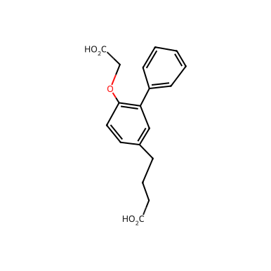 O=C(O)CCCc1ccc(OCC(=O)O)c(-c2ccccc2)c1